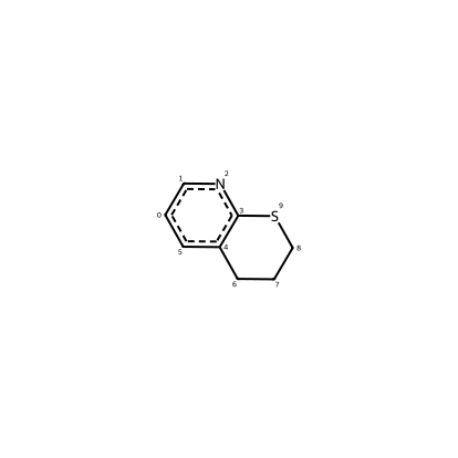 c1cnc2c(c1)CCCS2